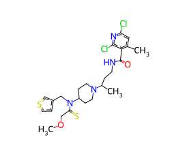 COCC(=S)N(Cc1ccsc1)C1CCN(C(C)CCNC(=O)c2c(C)cc(Cl)nc2Cl)CC1